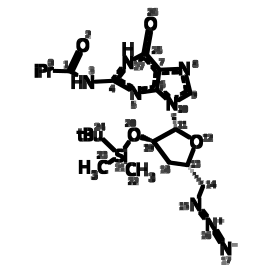 CC(C)C(=O)Nc1nc2c(ncn2[C@@H]2O[C@H](CN=[N+]=[N-])C[C@H]2O[Si](C)(C)C(C)(C)C)c(=O)[nH]1